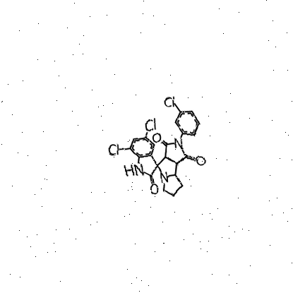 O=C1C2C3CCCN3C3(C(=O)Nc4c(Cl)cc(Cl)cc43)C2C(=O)N1c1cccc(Cl)c1